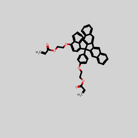 C=CC(=O)OCCOc1ccc(C2(c3ccc(OCCOC(=O)C=C)c4ccccc34)c3cc4ccccc4cc3-c3cc4ccccc4cc32)cc1